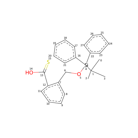 CC(C)(C)[Si](OCc1ccccc1C(O)=S)(c1ccccc1)c1ccccc1